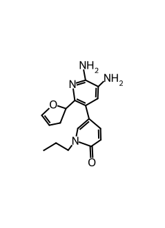 CCCn1cc(-c2cc(N)c(N)nc2C2CC=CO2)ccc1=O